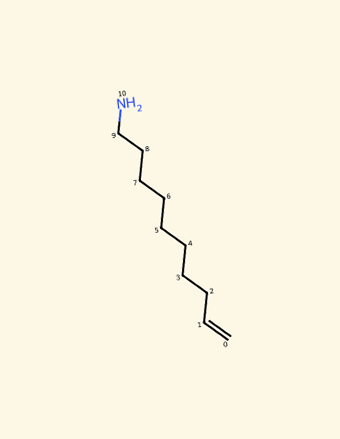 C=CCCCCCCCCN